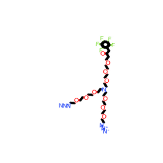 [N-]=[N+]=NCCOCCOCCOCCN(CCOCCOCCOCCN=[N+]=[N-])CCOCCOCCOCCC(=O)Cc1c(F)c(F)c(F)c(F)c1F